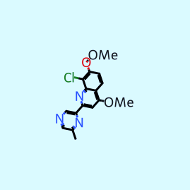 COOc1ccc2c(OC)cc(-c3cncc(C)n3)nc2c1Cl